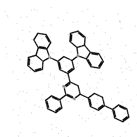 C1=CC2C3=C(C=CCC3)N(C3=CC(C4=NC(c5ccccc5)=NC(C5=CC=C(c6ccccc6)CC5)C4)=CC(N4c5ccccc5C5C=CC=CC54)C3)C2C=C1